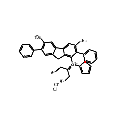 CC(C)C[C](CC(C)C)=[Zr+2]([C]1=CC=CC1)[c]1c2c(cc(C(C)(C)C)c1-c1ccccc1)-c1cc(C(C)(C)C)c(-c3ccccc3)cc1C2.[Cl-].[Cl-]